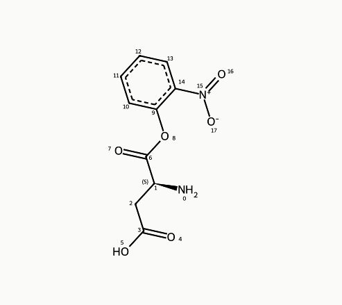 N[C@@H](CC(=O)O)C(=O)Oc1ccccc1[N+](=O)[O-]